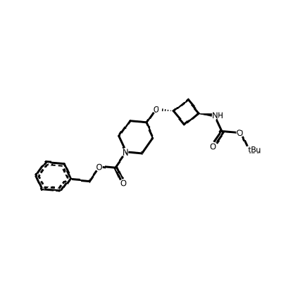 CC(C)(C)OC(=O)N[C@H]1C[C@H](OC2CCN(C(=O)OCc3ccccc3)CC2)C1